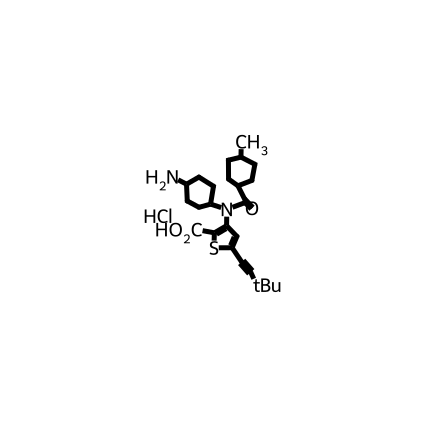 CC1CCC(C(=O)N(c2cc(C#CC(C)(C)C)sc2C(=O)O)C2CCC(N)CC2)CC1.Cl